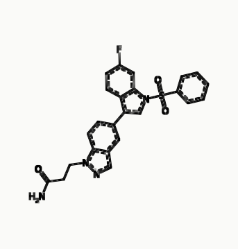 NC(=O)CCn1ncc2cc(-c3cn(S(=O)(=O)c4ccccc4)c4cc(F)ccc34)ccc21